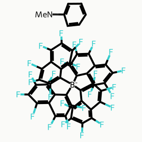 C[NH2+]c1ccccc1.Fc1c(F)c(F)c2c([B-](c3c(F)c(F)c(F)c4c(F)c(F)c(F)c(F)c34)(c3c(F)c(F)c(F)c4c(F)c(F)c(F)c(F)c34)c3c(F)c(F)c(F)c4c(F)c(F)c(F)c(F)c34)c(F)c(F)c(F)c2c1F